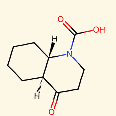 O=C1CCN(C(=O)O)[C@H]2CCCC[C@H]12